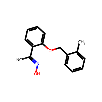 Cc1ccccc1COc1ccccc1C(C#N)=NO